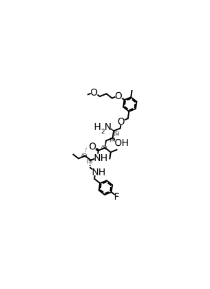 CC[C@H](C)[C@@H](CNCc1ccc(F)cc1)NC(=O)[C@@H](C[C@H](O)[C@@H](N)COCc1ccc(C)c(OCCCOC)c1)C(C)C